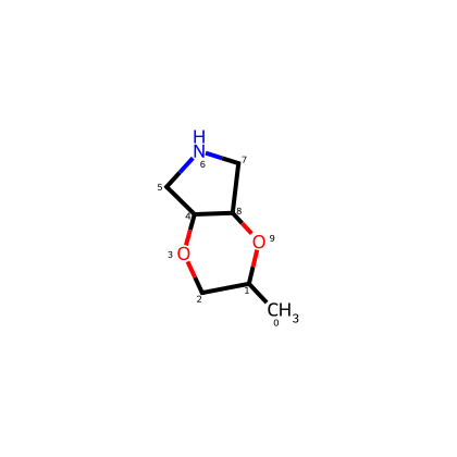 CC1COC2CNCC2O1